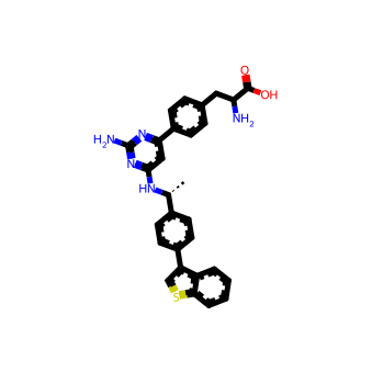 C[C@@H](Nc1cc(-c2ccc(CC(N)C(=O)O)cc2)nc(N)n1)c1ccc(-c2csc3ccccc23)cc1